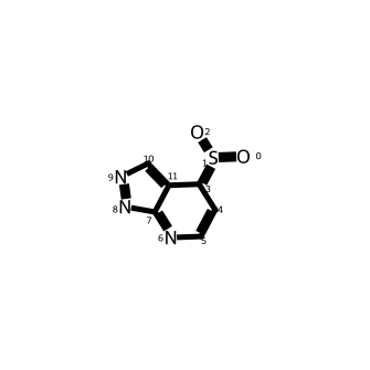 O=S(=O)=C1C=CN=C2N=NC=C21